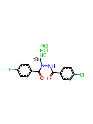 CC(C)(C)N(NC(=O)c1ccc(Cl)cc1)C(=O)c1ccc(F)cc1.Cl.Cl.Cl